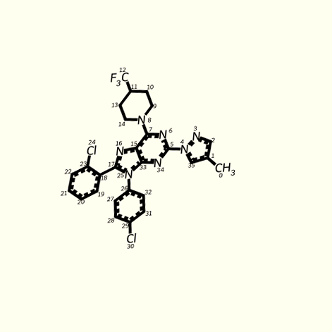 Cc1cnn(-c2nc(N3CCC(C(F)(F)F)CC3)c3nc(-c4ccccc4Cl)n(-c4ccc(Cl)cc4)c3n2)c1